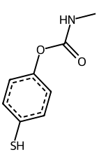 CNC(=O)Oc1ccc(S)cc1